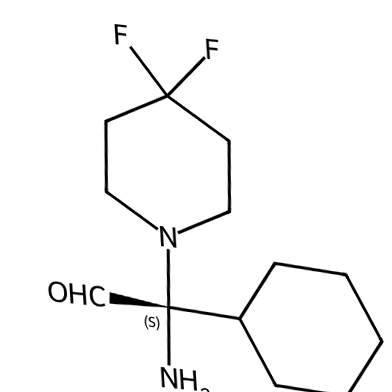 N[C@@](C=O)(C1CCCCC1)N1CCC(F)(F)CC1